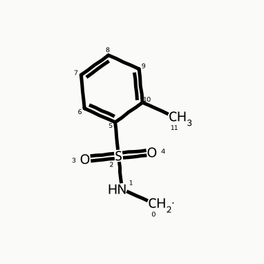 [CH2]NS(=O)(=O)c1ccccc1C